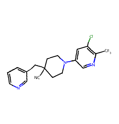 N#CC1(Cc2cccnc2)CCN(c2cnc(C(F)(F)F)c(Cl)c2)CC1